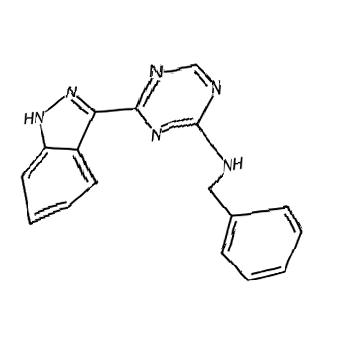 c1ccc(CNc2ncnc(-c3n[nH]c4ccccc34)n2)cc1